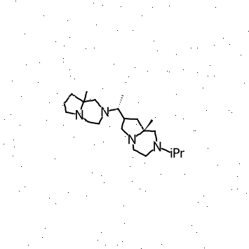 CC(C)N1CCN2CC([C@@H](C)N3CCN4CCCC4(C)C3)C[C@]2(C)C1